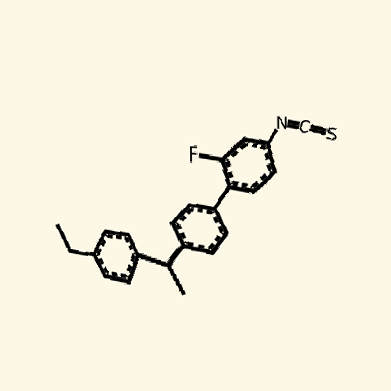 CCc1ccc(C(C)c2ccc(-c3ccc(N=C=S)cc3F)cc2)cc1